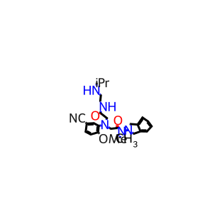 COc1ccc(C#N)cc1N(CC(=O)NCCNC(C)C)CC(=O)N(C)N1Cc2ccccc2C1